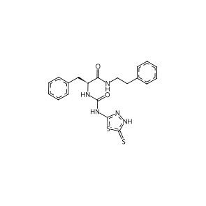 O=C(Nc1n[nH]c(=S)s1)N[C@@H](Cc1ccccc1)C(=O)NCCc1ccccc1